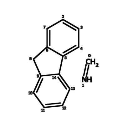 C=N.c1ccc2c(c1)Cc1ccccc1-2